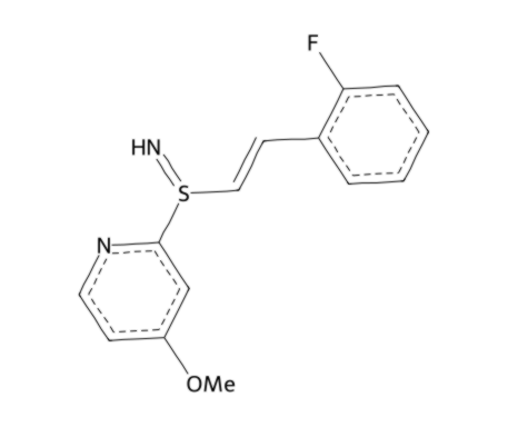 COc1ccnc(S(=N)/C=C/c2ccccc2F)c1